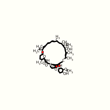 CO[C@H]1C[C@@H]2CC[C@@H](C)[C@@](O)(O2)C(=O)C(=O)N2CCCC3[C@H]2C(=O)O[C@@H](CC[C@H](C)/C=C(\C)[C@@H](O)[C@@H](OC)C(=O)[C@H](C)C[C@H](C)/C=C/C=C/C=C/1C)[C@H]3C[C@H]1CC[C@@H](O)[C@H](OC)C1